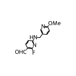 COc1ccc(CNc2ccc(C=O)c(F)n2)cn1